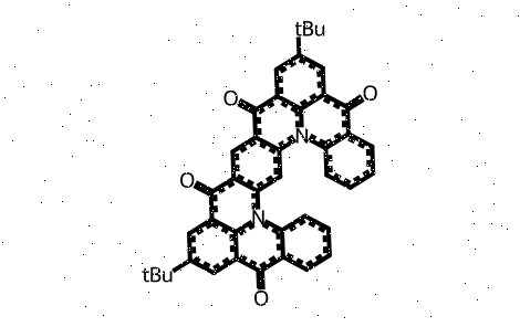 CC(C)(C)c1cc2c(=O)c3ccccc3n3c4cc5c(cc4c(=O)c(c1)c23)c(=O)c1cc(C(C)(C)C)cc2c(=O)c3ccccc3n5c21